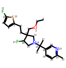 CCOCC1(CCc2ccc(F)s2)CN(C(C)(C)c2ccc(C)nc2)CC1F